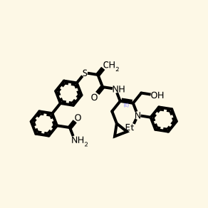 C=C(Sc1ccc(-c2ccccc2C(N)=O)cc1)C(=O)N/C(CC1CC1)=C(\CO)N(CC)c1ccccc1